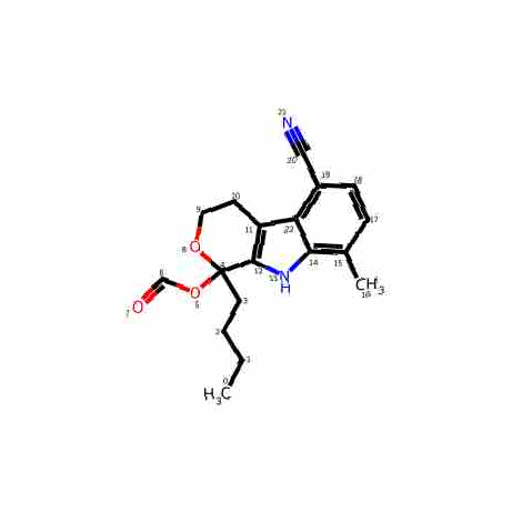 CCCCC1(OC=O)OCCc2c1[nH]c1c(C)ccc(C#N)c21